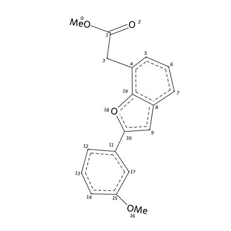 COC(=O)Cc1cccc2cc(-c3cccc(OC)c3)oc12